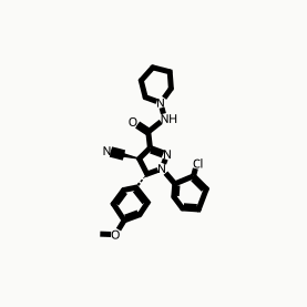 COc1ccc([C@@H]2[C@@H](C#N)C(C(=O)NN3CCCCC3)=NN2c2ccccc2Cl)cc1